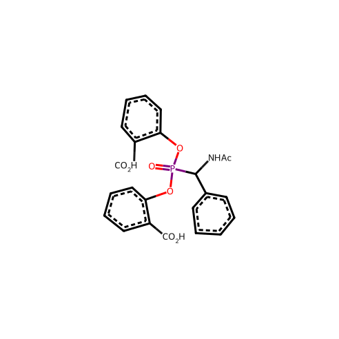 CC(=O)NC(c1ccccc1)P(=O)(Oc1ccccc1C(=O)O)Oc1ccccc1C(=O)O